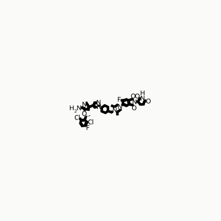 CC1CN(c2cc3c(cc2F)C(=O)N(C2CCC(=O)NC2=O)C3=O)CC(C)N1CC1CCC(n2cc(-c3cnc(N)c(O[C@H](C)c4c(Cl)ccc(F)c4Cl)c3)cn2)CC1